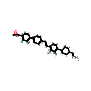 C=CC1CCC(c2ccc(/C=C/c3ccc(-c4ccc(C5CO5)c(F)c4F)cc3)c(F)c2F)CC1